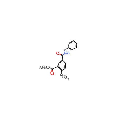 COC(=O)c1cc(C(=O)NCc2ccccc2)ccc1[N+](=O)[O-]